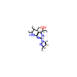 CCC(C)C(C)Nc1cc(C(C)O)nc(-n2ccc(C)n2)n1